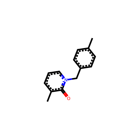 Cc1ccc(Cn2cccc(C)c2=O)cc1